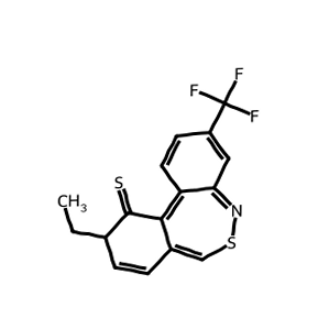 CCC1C=CC2=CSN=c3cc(C(F)(F)F)ccc3=C2C1=S